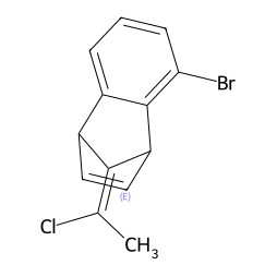 C/C(Cl)=C1/C2C=CC1c1c(Br)cccc12